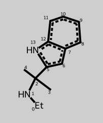 CCNC(C)(C)c1cc2ccccc2[nH]1